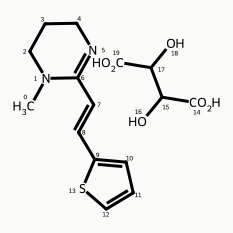 CN1CCCN=C1C=Cc1cccs1.O=C(O)C(O)C(O)C(=O)O